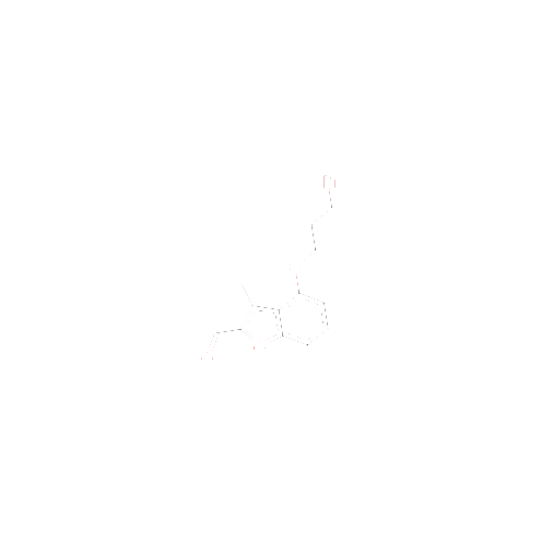 Cc1c(C=O)oc2cccc(OCCCBr)c12